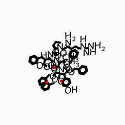 CC(C)[C@H](NC(=O)[C@@H](NC(=O)[C@H]1CCCN1C(=O)[C@@H](N)CCCNC(=N)N)C(Cc1ccccc1)C(=O)O)C(=O)N(C(=O)OCc1ccccc1)C(C(=O)OCc1ccccc1)(C(=O)OCc1ccccc1)C(C(=O)OCc1ccccc1)c1ccc(O)cc1